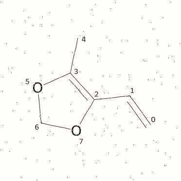 C=CC1=C(C)OCO1